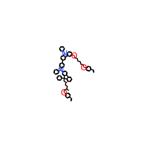 C=Cc1ccc(OCCCCCCOc2ccc3c(c2)c2cc(-c4ccc(N(c5ccccc5)c5ccc6c(c5)C(CC(C)CCC(C)COc5ccc(C=C)cc5)(c5ccccc5)c5ccccc5-6)cc4)ccc2n3-c2ccccc2)cc1